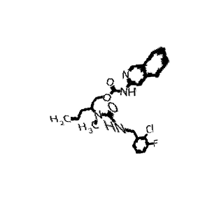 C=CCC(COC(=O)Nc1cc2ccccc2cn1)N(C)C(=O)NCc1cccc(F)c1Cl